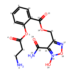 NCCC(=O)Oc1ccccc1C(=O)OCc1no[n+](O)c1C(N)=O